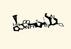 CCc1ncc(Cl)cc1N[C@@H](C)c1ccc(C(=O)N[C@@H](CC2CCCC2)C(=O)NC2CC2)s1